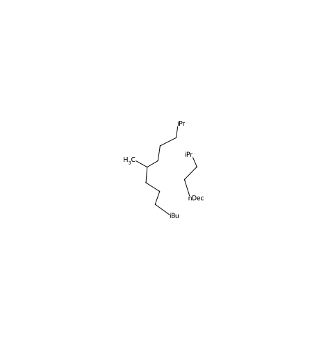 CCC(C)CCCC(C)CCCC(C)C.CCCCCCCCCCCCC(C)C